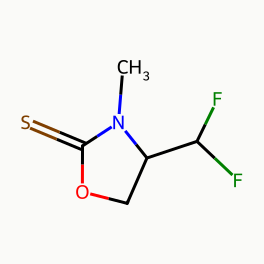 CN1C(=S)OCC1C(F)F